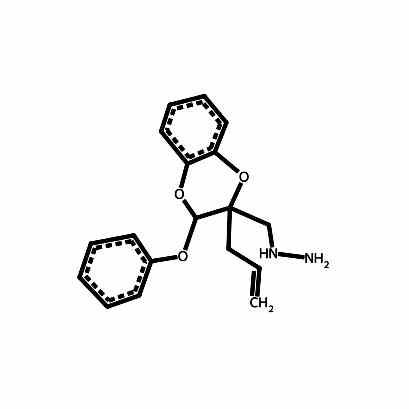 C=CCC1(CNN)Oc2ccccc2OC1Oc1ccccc1